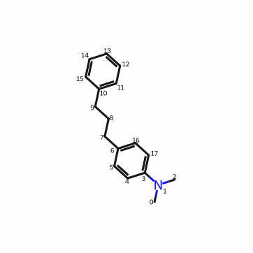 CN(C)c1ccc(CCCc2ccccc2)cc1